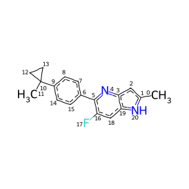 Cc1cc2nc(-c3ccc(C4(C)CC4)cc3)c(F)cc2[nH]1